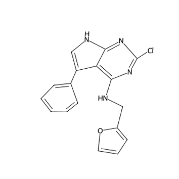 Clc1nc(NCc2ccco2)c2c(-c3ccccc3)c[nH]c2n1